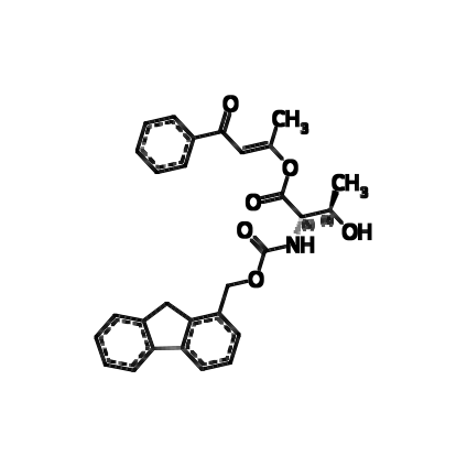 CC(=CC(=O)c1ccccc1)OC(=O)[C@@H](NC(=O)OCc1cccc2c1Cc1ccccc1-2)[C@@H](C)O